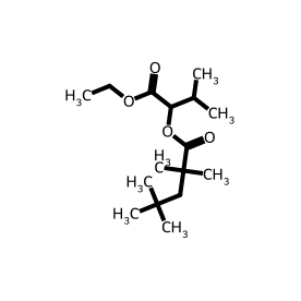 CCOC(=O)C(OC(=O)C(C)(C)CC(C)(C)C)C(C)C